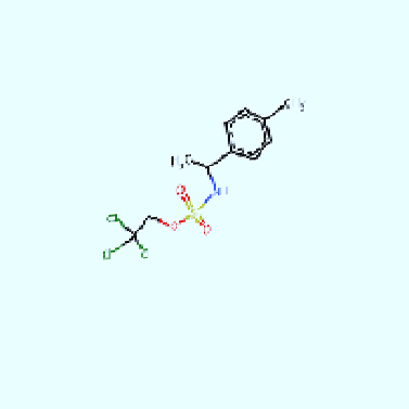 [CH2]c1ccc(C(C)NS(=O)(=O)OCC(Cl)(Cl)Cl)cc1